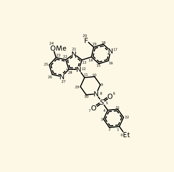 CCc1ccc(S(=O)(=O)N2CCC(n3c(-c4ccncc4F)nc4c(OC)ccnc43)CC2)cc1